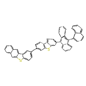 c1ccc2cc3c(cc2c1)sc1ccc(-c2ccc4c(c2)sc2cc(-c5c6ccccc6c(-c6cccc7ccccc67)c6ccccc56)ccc24)cc13